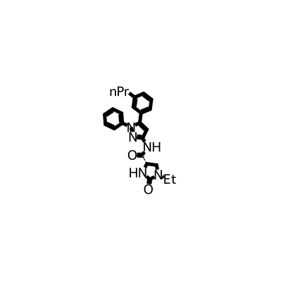 CCCc1cccc(-c2cc(NC(=O)[C@@H]3CN(CC)C(=O)N3)nn2-c2ccccc2)c1